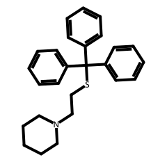 c1ccc(C(SCCN2CCCCC2)(c2ccccc2)c2ccccc2)cc1